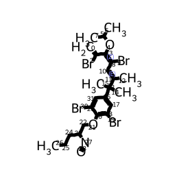 C=C(Br)/C(OC(C)C)=C(Br)\C=C(/C)C(C)(C)c1cc(Br)c(OCC(CCC)N=O)c(Br)c1